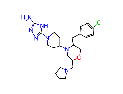 Nc1nnc(N2CCC(N3CC(CN4CCCC4)OCC3Cc3ccc(Cl)cc3)CC2)[nH]1